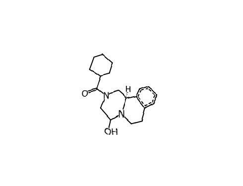 O=C(C1CCCCC1)N1CC(O)N2CCc3ccccc3[C@@H]2C1